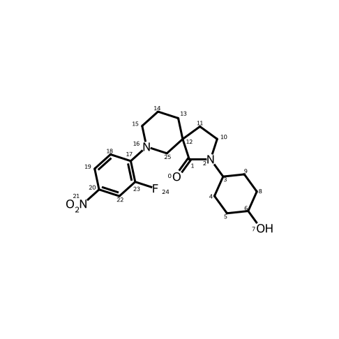 O=C1N(C2CCC(O)CC2)CCC12CCCN(c1ccc([N+](=O)[O-])cc1F)C2